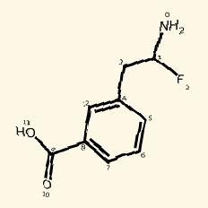 NC(F)Cc1cccc(C(=O)O)c1